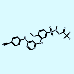 CSc1ccc(S(=O)(=O)N(C)OC(=O)C(F)(F)F)cc1Nc1cc(Nc2ccc(C#N)cc2)ncn1